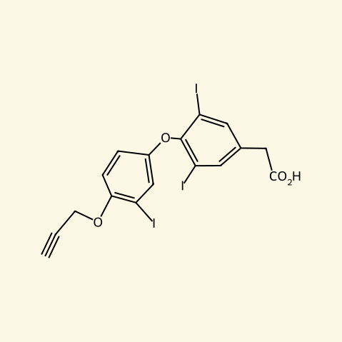 C#CCOc1ccc(Oc2c(I)cc(CC(=O)O)cc2I)cc1I